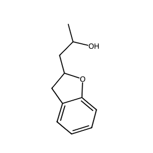 CC(O)CC1Cc2ccccc2O1